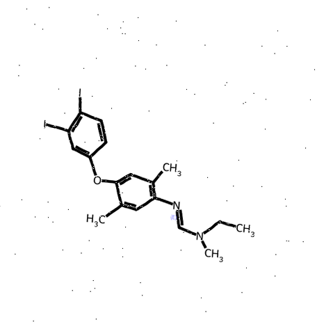 CCN(C)/C=N/c1cc(C)c(Oc2ccc(I)c(I)c2)cc1C